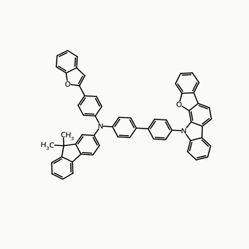 CC1(C)c2ccccc2-c2ccc(N(c3ccc(-c4ccc(-n5c6ccccc6c6ccc7c8ccccc8oc7c65)cc4)cc3)c3ccc(-c4cc5ccccc5o4)cc3)cc21